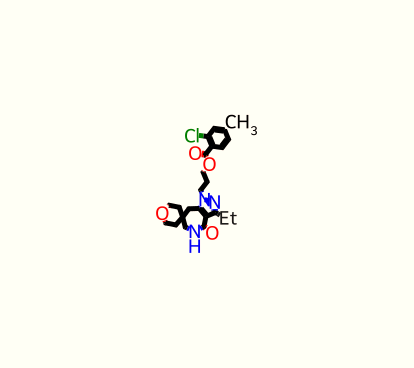 CCc1nn(CCCOC(=O)c2ccc(C)cc2Cl)c2c1C(=O)NCC1(CCOCC1)C2